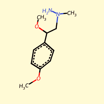 COc1ccc(C(CN(C)N)OC)cc1